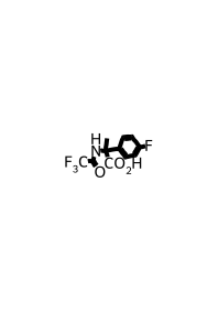 CC(NC(=O)C(F)(F)F)(C(=O)O)c1ccc(F)cc1